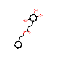 O=C(CCc1cc(O)c(O)cc1O)OCCc1ccccc1